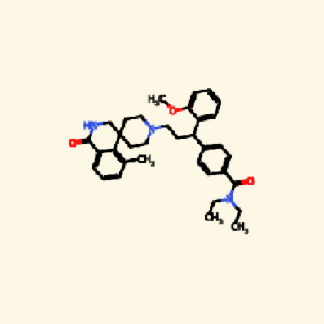 CCN(CC)C(=O)c1ccc(C(CCN2CCC3(CC2)CNC(=O)c2cccc(C)c23)c2ccccc2OC)cc1